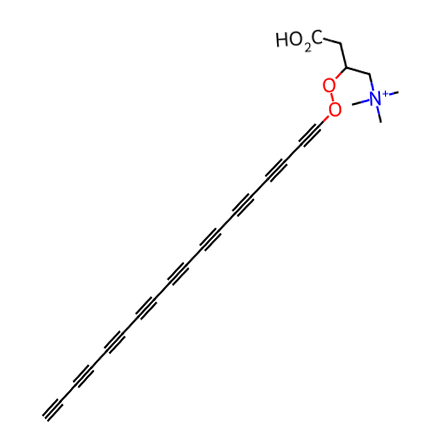 C#CC#CC#CC#CC#CC#CC#CC#CC#COOC(CC(=O)O)C[N+](C)(C)C